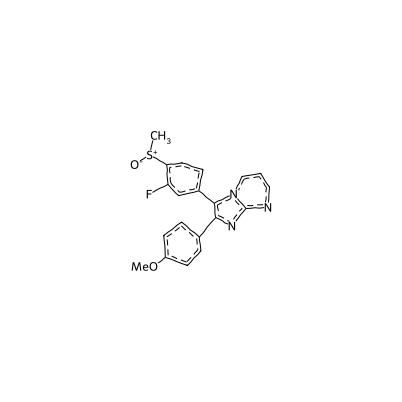 COc1ccc(-c2nc3ncccn3c2-c2ccc([S+](C)[O-])c(F)c2)cc1